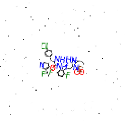 CC(F)(F)c1cncc([C@H](c2ccc(Cl)cc2)[C@H](N)C(=O)Nc2cccc(F)c2CCC2CNC3CCCS(=O)(=O)N2C3)c1